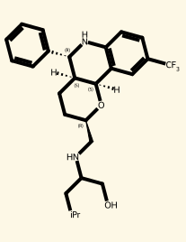 CC(C)CC(CO)NC[C@H]1CC[C@@H]2[C@H](O1)c1cc(C(F)(F)F)ccc1N[C@H]2c1ccccc1